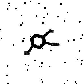 COc1cc(S)ccc1C(C)=O